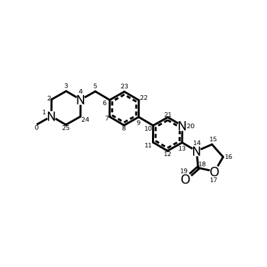 CN1CCN(Cc2ccc(-c3ccc(N4CCOC4=O)nc3)cc2)CC1